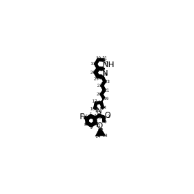 CC(=O)C(c1cc(F)ccc1OC1CC1)N1CC[C@@H](CCCCCc2ccc3c(n2)NCCC3)C1